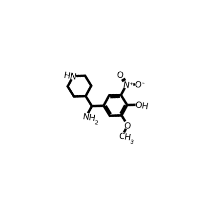 COc1cc(C(N)C2CCNCC2)cc([N+](=O)[O-])c1O